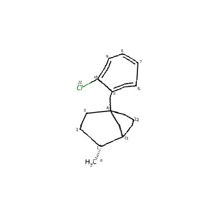 C[C@@H]1CCC2(c3ccccc3Cl)CC12